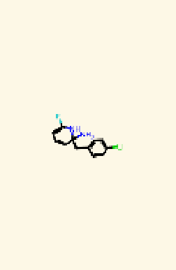 NC1(Cc2ccc(Cl)cc2)C=CC=C(F)N1